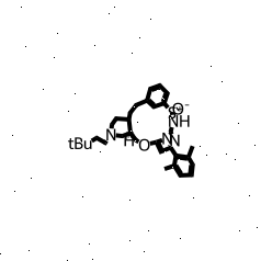 Cc1cccc(C)c1-c1cc2nc(n1)N[S+]([O-])c1cccc(c1)CCC1CCN(CCC(C)(C)C)C[C@@H]1CO2